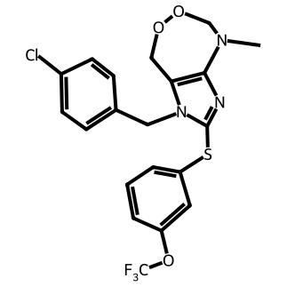 CN1COOCc2c1nc(Sc1cccc(OC(F)(F)F)c1)n2Cc1ccc(Cl)cc1